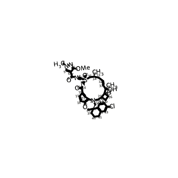 COc1nn(C)cc1C(=O)[N+]#CS1(=O)=NC(=O)c2ccc3c(c2)N(C[C@@H]2CC[C@H]2[C@@](C)(O)/C=C/C[C@H](C)C1)C[C@@]1(CCCc2cc(Cl)ccc21)CO3